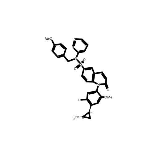 COc1ccc(CN(c2cccnn2)S(=O)(=O)c2ccc3c(ccc(=O)n3-c3cc(Cl)c([C@H]4C[C@@H]4C(F)(F)F)cc3OC)c2)cc1